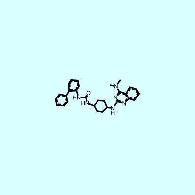 CN(C)c1nc(NC2CCC(NC(=O)Nc3ccccc3-c3ccccc3)CC2)nc2ccccc12